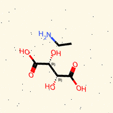 CCN.O=C(O)[C@H](O)[C@@H](O)C(=O)O